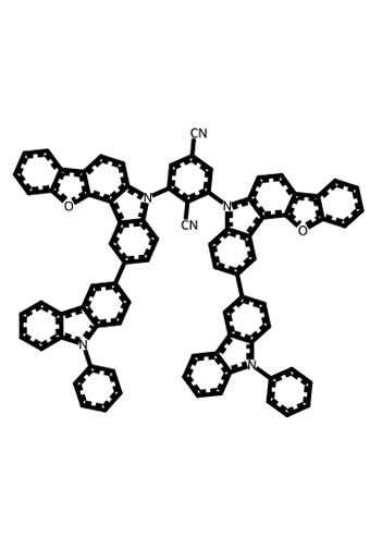 N#Cc1cc(-n2c3ccc(-c4ccc5c(c4)c4ccccc4n5-c4ccccc4)cc3c3c4oc5ccccc5c4ccc32)c(C#N)c(-n2c3ccc(-c4ccc5c(c4)c4ccccc4n5-c4ccccc4)cc3c3c4oc5ccccc5c4ccc32)c1